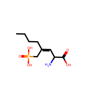 CCCCC(=CC(N)C(=O)O)CP(=O)(O)O